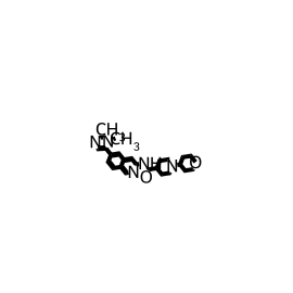 Cc1ncc(-c2ccc3cnc(NC(=O)C4CCN(C5CCOCC5)CC4)cc3c2)n1C